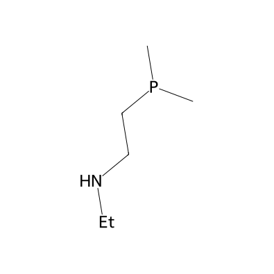 CCNCCP(C)C